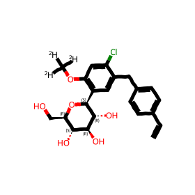 [2H]C([2H])([2H])Oc1cc(Cl)c(Cc2ccc(C=C)cc2)cc1[C@@H]1O[C@H](CO)[C@@H](O)[C@H](O)[C@H]1O